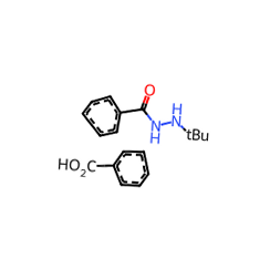 CC(C)(C)NNC(=O)c1ccccc1.O=C(O)c1ccccc1